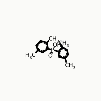 Cc1ccc(C)c(P(=O)(O)c2cc(C)ccc2C)c1